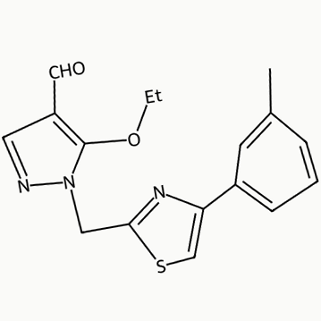 CCOc1c(C=O)cnn1Cc1nc(-c2cccc(C)c2)cs1